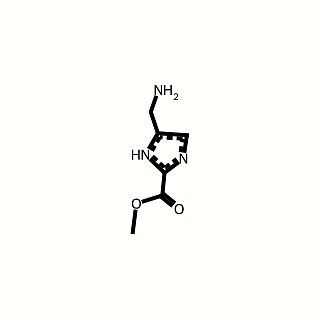 COC(=O)c1ncc(CN)[nH]1